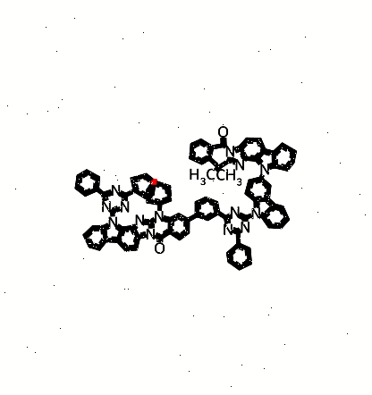 CC1(C)c2ccccc2C(=O)n2c1nc1c2ccc2c3ccccc3n(-c3ccc4c(c3)c3ccccc3n4-c3nc(-c4ccccc4)nc(-c4cccc(-c5ccc6c(=O)n7c8ccc9c%10ccccc%10n(-c%10nc(-c%11ccccc%11)nc(-c%11ccccc%11)n%10)c9c8nc7n(-c7ccccc7)c6c5)c4)n3)c21